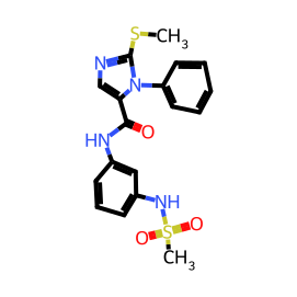 CSc1ncc(C(=O)Nc2cccc(NS(C)(=O)=O)c2)n1-c1ccccc1